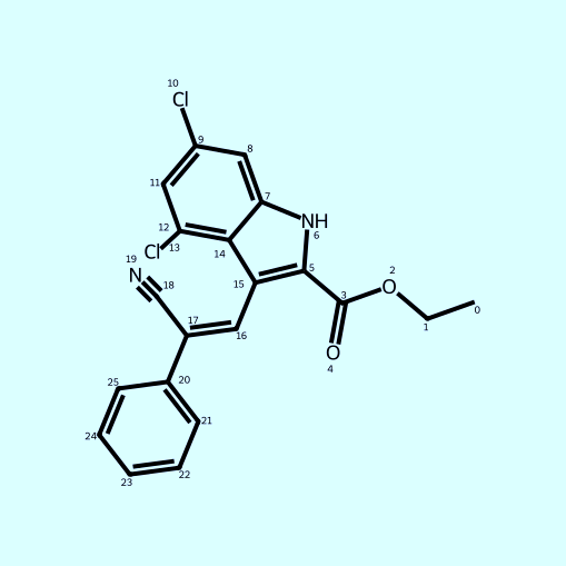 CCOC(=O)c1[nH]c2cc(Cl)cc(Cl)c2c1C=C(C#N)c1ccccc1